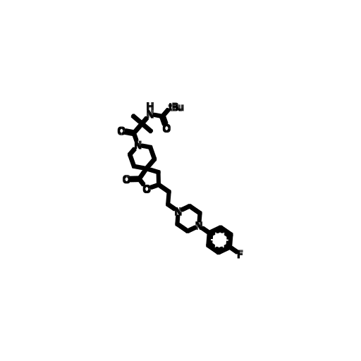 CC(C)(C)C(=O)NC(C)(C)C(=O)N1CCC2(CC1)CC(CCN1CCN(c3ccc(F)cc3)CC1)OC2=O